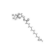 CCCCCCCCCCCC(=O)OCC1COC(C)(C)O1